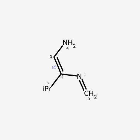 C=N/C(=C\N)C(C)C